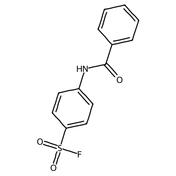 O=C(Nc1ccc(S(=O)(=O)F)cc1)c1ccccc1